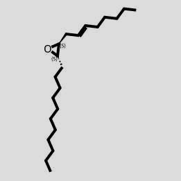 CCCCCC=CC[C@@H]1O[C@H]1CCCCCCCCCCC